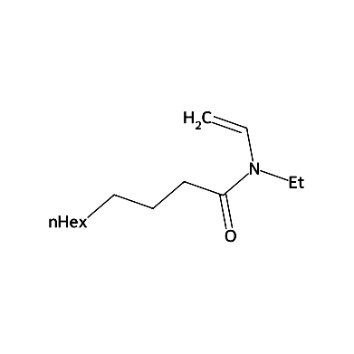 C=CN(CC)C(=O)CCCCCCCCC